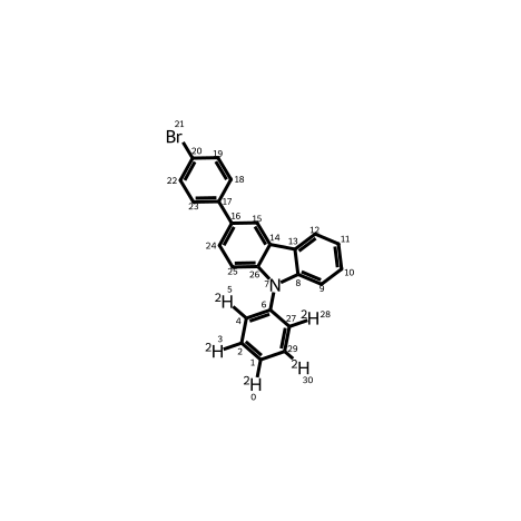 [2H]c1c([2H])c([2H])c(-n2c3ccccc3c3cc(-c4ccc(Br)cc4)ccc32)c([2H])c1[2H]